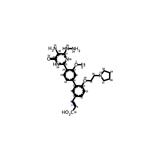 CCOc1cc(-c2cc(/C=C/C(=O)O)ccc2OCCN2CCCC2)ccc1-c1nc(NN)c(N)c(=O)[nH]1